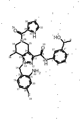 CC(O)c1cccc(NC(=O)c2nn(Cc3ccc(F)cc3N)c3c2CN(C(=O)c2ccc[nH]2)CC3C)c1